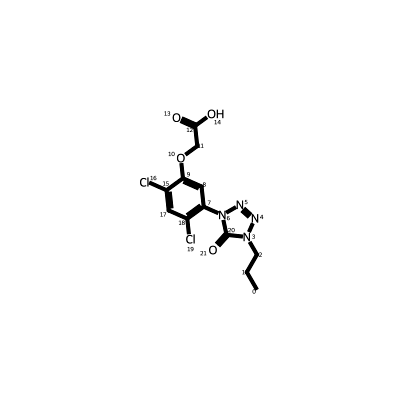 CCCn1nnn(-c2cc(OCC(=O)O)c(Cl)cc2Cl)c1=O